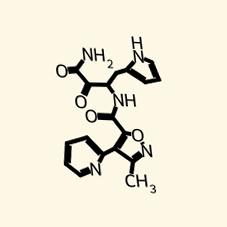 Cc1noc(C(=O)NC(Cc2ccc[nH]2)C(=O)C(N)=O)c1-c1ccccn1